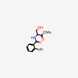 CCCc1ccccc1C(=O)NC(CO)C(=O)OC